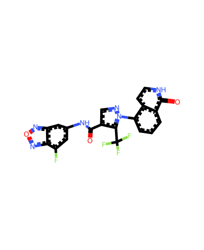 O=C(Nc1cc(F)c2nonc2c1)c1cnn(-c2cccc3c(=O)[nH]ccc23)c1C(F)(F)F